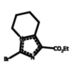 CCOC(=O)c1nc(Br)n2c1CCCC2